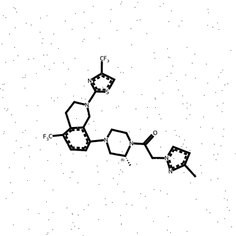 Cc1ccn(CC(=O)N2CCN(c3ccc(C(F)(F)F)c4c3CN(c3nc(C(F)(F)F)cs3)CC4)C[C@H]2C)n1